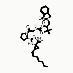 CCCCC/C=C\C1C[C@]1(NC(=O)[C@@H]1CCCN1C(=O)CNC(=O)OC(CN1Cc2ccccc2S1(=O)=O)C(C)(C)C)C(=O)O